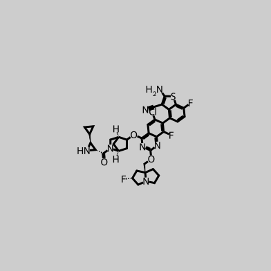 N#Cc1c(N)sc2c(F)ccc(-c3c(Cl)cc4c(OC5C[C@@H]6C[C@H]5CN6C(=O)[C@@H]5N[C@H]5C5CC5)nc(OC[C@@]56CCCN5C[C@H](F)C6)nc4c3F)c12